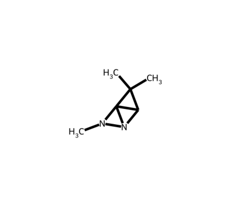 CN1N2C3C(C)(C)C312